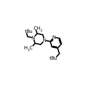 CC1CN(c2cc(CC(C)(C)C)ccn2)CC(C)N1CC(C)(C)C